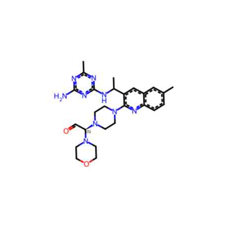 Cc1ccc2nc(N3CCN([C@H](C=O)N4CCOCC4)CC3)c(C(C)Nc3nc(C)nc(N)n3)cc2c1